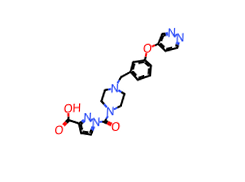 O=C(O)c1ccn(C(=O)N2CCN(Cc3cccc(Oc4ccnnc4)c3)CC2)n1